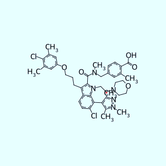 Cc1cc(CN(C)C(=O)c2c(CCCOc3cc(C)c(Cl)c(C)c3)c3ccc(Cl)c(-c4c(C)nn(C)c4C)c3n2CCN2CCOCC2)ccc1C(=O)O